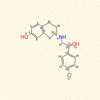 Oc1ccc2c(c1)C[C@@H](NC[C@@H](O)c1ccc(Cl)cc1)CC2